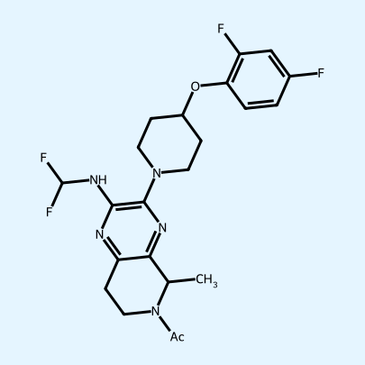 CC(=O)N1CCc2nc(NC(F)F)c(N3CCC(Oc4ccc(F)cc4F)CC3)nc2C1C